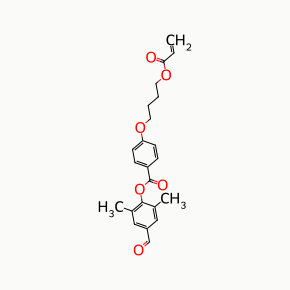 C=CC(=O)OCCCCOc1ccc(C(=O)Oc2c(C)cc(C=O)cc2C)cc1